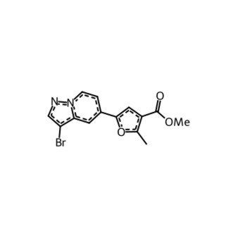 COC(=O)c1cc(-c2ccn3ncc(Br)c3c2)oc1C